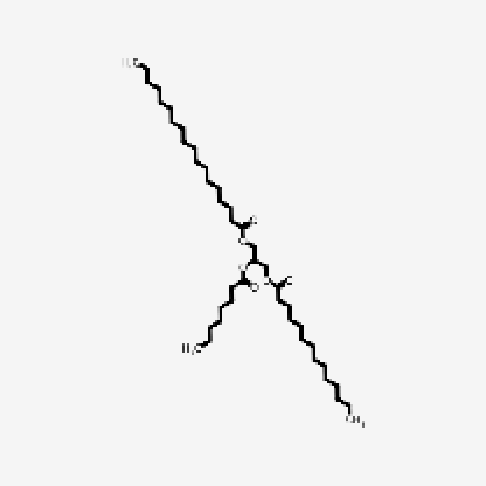 CCCCCCCCCCCCCCCCCC(=O)OCC(COC(=O)CCCCCCCCCCCCC)OC(=O)CCCCCCC